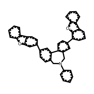 c1ccc(N2Cc3cc(-c4cccc5c4oc4ccccc45)ccc3-c3cc(-c4ccc5c(c4)oc4ccccc45)ccc3C2)cc1